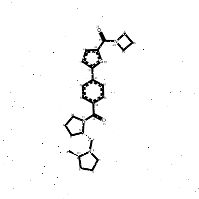 C[C@@H]1CCCN1C[C@@H]1CCCN1C(=O)c1ccc(-c2ccc(C(=O)N3CCC3)s2)cc1